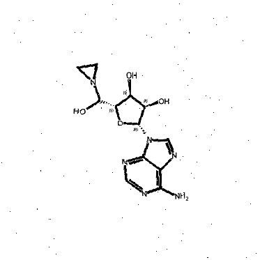 Nc1ncnc2c1ncn2[C@@H]1O[C@H](C(O)N2CC2)[C@@H](O)[C@H]1O